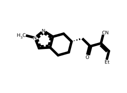 CC/C=C(/C#N)C(=O)C[C@@H]1CCc2cn(C)nc2C1